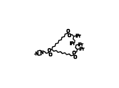 CC(C)CCC(COC(=O)CCCCCCCCCC(CCCCCCCCCC(=O)OCC(CCC(C)C)C(C)C)OC(=O)CCN1CCN(C)CC1)C(C)C